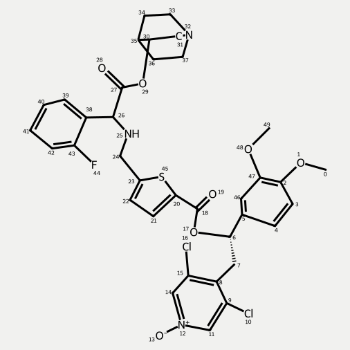 COc1ccc([C@H](Cc2c(Cl)c[n+]([O-])cc2Cl)OC(=O)c2ccc(CNC(C(=O)OC3CN4CCC3CC4)c3ccccc3F)s2)cc1OC